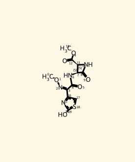 CON=C(C(=O)N[C@@H]1C(=O)N[C@@H]1C(=O)OC)c1csc(O)n1